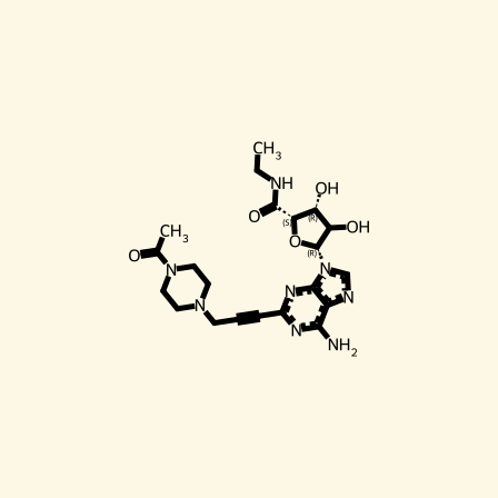 CCNC(=O)[C@H]1O[C@@H](n2cnc3c(N)nc(C#CCN4CCN(C(C)=O)CC4)nc32)C(O)[C@H]1O